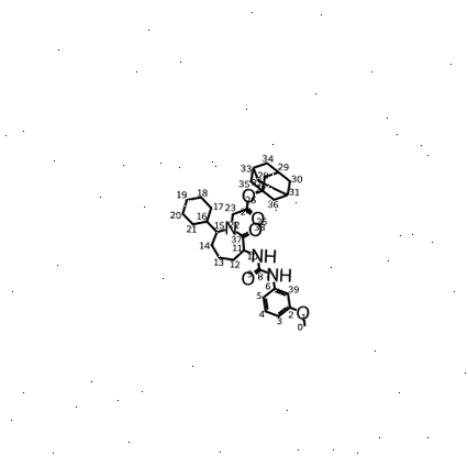 COc1cccc(NC(=O)NC2CCCC(C3CCCCC3)N(CC(=O)OC34CC5CC(CC(C5)C3)C4)C2=O)c1